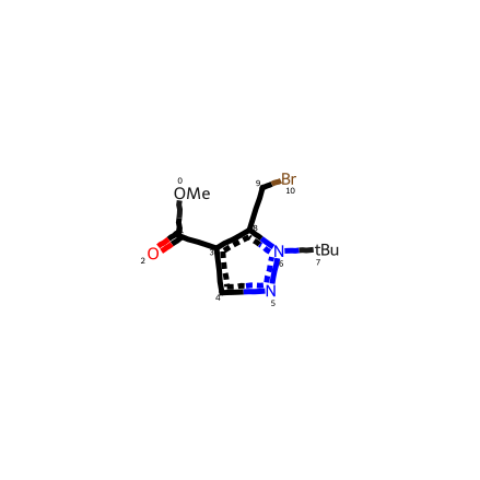 COC(=O)c1cnn(C(C)(C)C)c1CBr